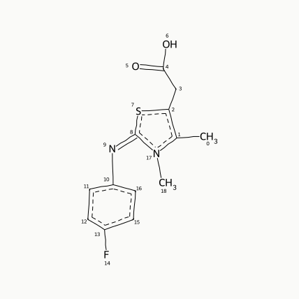 Cc1c(CC(=O)O)sc(=Nc2ccc(F)cc2)n1C